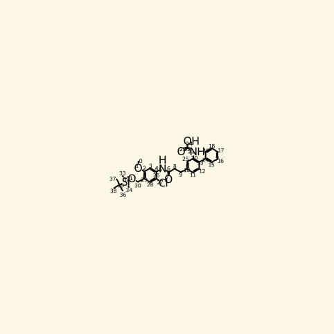 COc1cc(NC(=O)CCc2ccc(-c3ccccc3)c(NC(=O)O)c2)c(Cl)cc1CO[Si](C)(C)C(C)(C)C